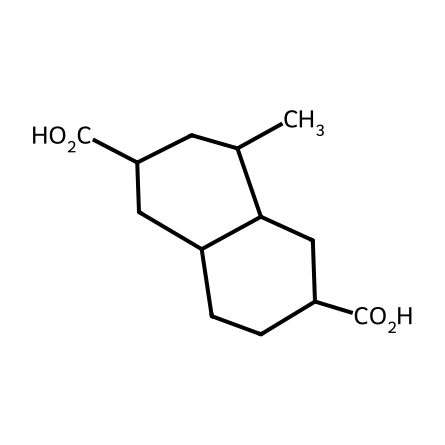 CC1CC(C(=O)O)CC2CCC(C(=O)O)CC12